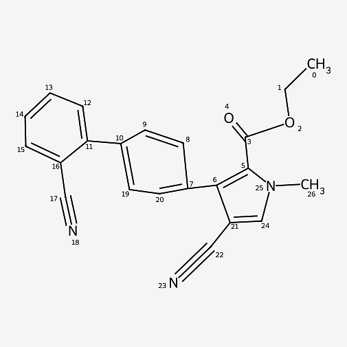 CCOC(=O)c1c(-c2ccc(-c3ccccc3C#N)cc2)c(C#N)cn1C